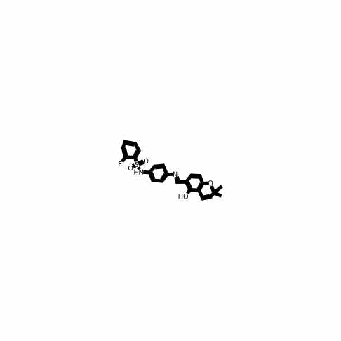 CC1(C)C=Cc2c(ccc(C=Nc3ccc(NS(=O)(=O)c4ccccc4F)cc3)c2O)O1